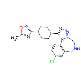 Cc1nc([C@H]2CC[C@H](c3nnc4n3-c3ccc(Cl)cc3CNC4)CC2)no1